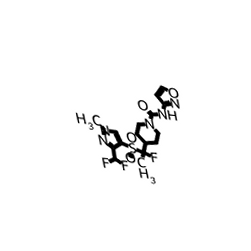 Cn1cc(S(=O)(=O)C(C)(F)C2CCN(C(=O)Nc3ccon3)CC2)c(C(F)F)n1